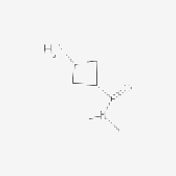 CN(C)C(=O)C1CC(N)C1